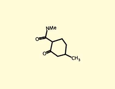 CNC(=O)C1CCC(C)CC1=O